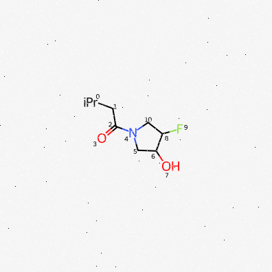 CC(C)CC(=O)N1CC(O)C(F)C1